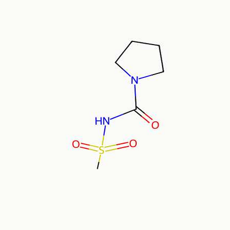 CS(=O)(=O)NC(=O)N1CCCC1